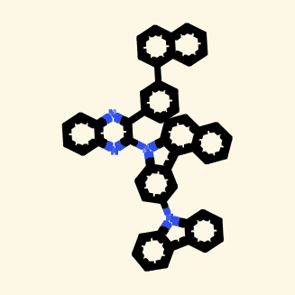 c1cc(-c2nc3ccccc3nc2-n2c3ccc(-n4c5ccccc5c5ccccc54)cc3c3c4ccccc4ccc32)cc(-c2cccc3ccccc23)c1